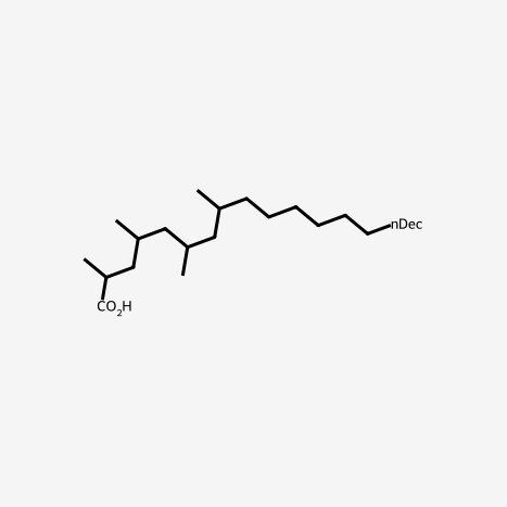 CCCCCCCCCCCCCCCCC(C)CC(C)CC(C)CC(C)C(=O)O